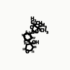 CC1(C)OB(c2cccc(C3(O)CCOCC3)c2)OC1(C)C